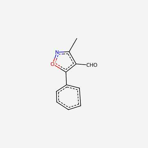 Cc1noc(-c2ccccc2)c1C=O